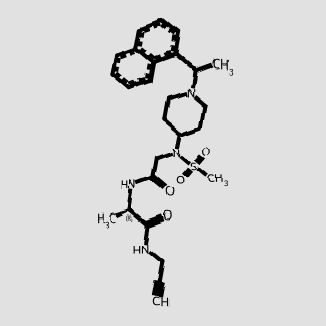 C#CCNC(=O)[C@@H](C)NC(=O)CN(C1CCN(C(C)c2cccc3ccccc23)CC1)S(C)(=O)=O